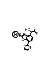 O=C(O)N1C2CC1CN(c1nc3c(C(O)C(F)F)ccc(-c4nccs4)c3o1)C2